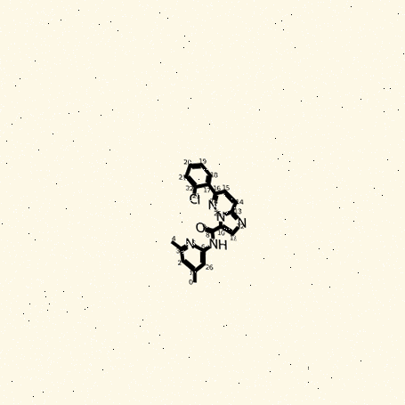 Cc1cc(C)nc(NC(=O)c2cnc3ccc(-c4ccccc4Cl)nn23)c1